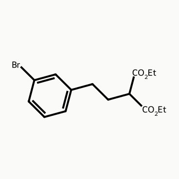 CCOC(=O)C(CCc1cccc(Br)c1)C(=O)OCC